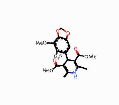 COC(=O)C1=C(C)NC(C)=C(C(=O)OC)C1c1cc2c(c(OC)c1[N+](=O)[O-])OCO2